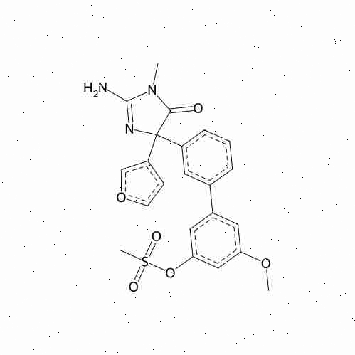 COc1cc(OS(C)(=O)=O)cc(-c2cccc(C3(c4ccoc4)N=C(N)N(C)C3=O)c2)c1